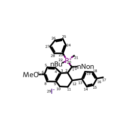 CCCCCCCCCC(C1c2ccc(OC)cc2CCC1c1ccc(C)cc1)[P+](C)(CCCC)c1ccccc1.[I-]